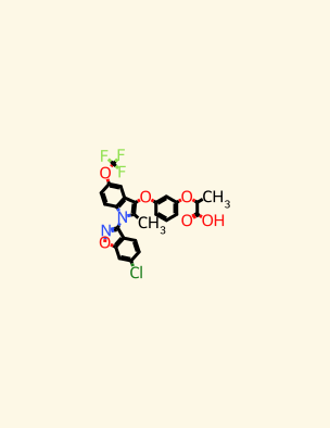 Cc1c(Oc2cccc(OC(C)C(=O)O)c2)c2cc(OC(F)(F)F)ccc2n1-c1noc2cc(Cl)ccc12